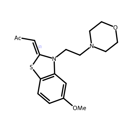 COc1ccc2c(c1)N(CCN1CCOCC1)/C(=C/C(C)=O)S2